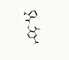 NC(=O)c1ccc(CNC(=O)c2ccccc2C(=O)O)c(C(N)=O)c1